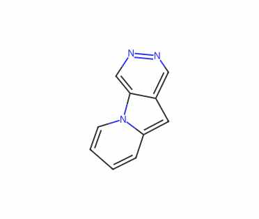 c1ccn2c(c1)cc1cnncc12